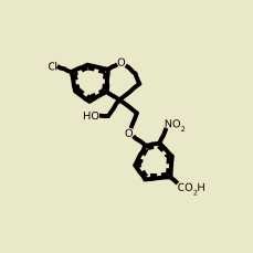 O=C(O)c1ccc(OCC2(CO)CCOc3cc(Cl)ccc32)c([N+](=O)[O-])c1